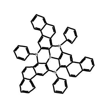 c1ccc(N2c3cc4c(ccc5ccccc54)c4c3B3c5c(cc6c(ccc7ccccc76)c52)N(c2ccccc2)c2c3c(cc3c2ccc2ccccc23)N4c2ccccc2)cc1